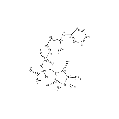 CN1C(=O)N(CC(O)(CS(=O)(=O)c2ccc(Oc3ccccc3)cc2)C(=O)O)C(=O)C1(C)C